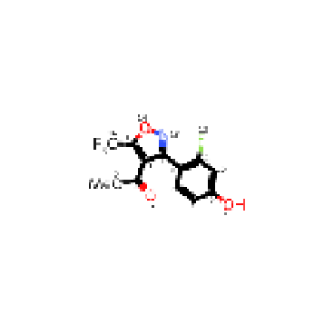 COC(=O)c1c(-c2ccc(O)cc2F)noc1C(F)(F)F